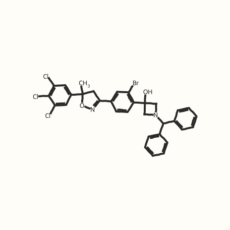 CC1(c2cc(Cl)c(Cl)c(Cl)c2)CC(c2ccc(C3(O)CN(C(c4ccccc4)c4ccccc4)C3)c(Br)c2)=NO1